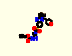 CC(C)(C)OC(=O)NC1CN(S(=O)(=O)c2ccc3c(c2)nc(C(C)(C)C)n3CC2CCOCC2)C1